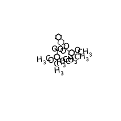 COc1cc(C(=O)O[C@H]2Cc3ccccc3C[C@H]2OC(=O)c2cc(OC)c(C)c(OC)c2)cc(OC)c1C